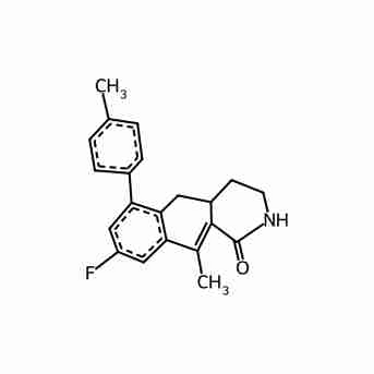 CC1=C2C(=O)NCCC2Cc2c1cc(F)cc2-c1ccc(C)cc1